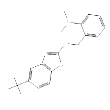 CN(C)c1ccccc1CSc1nc2cc(C(F)(F)F)ccc2[nH]1.Cl.Cl